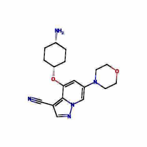 N#Cc1cnn2cc(N3CCOCC3)cc(O[C@H]3CC[C@@H](N)CC3)c12